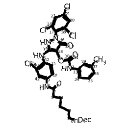 CCCCCCCCCCCCCCCC(=O)Nc1ccc(Nc2[nH]n(-c3c(Cl)cc(Cl)cc3Cl)c(=O)c2OC(=O)Nc2cccc(C)c2)c(Cl)c1